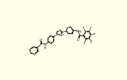 O=C(Nc1ccc(-c2cnc(-c3ccc(NC(=O)c4c(F)c(F)c(F)c(F)c4F)cc3)[nH]2)cc1)c1cccnc1